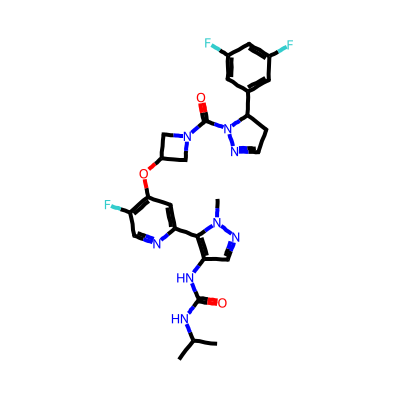 CC(C)NC(=O)Nc1cnn(C)c1-c1cc(OC2CN(C(=O)N3N=CCC3c3cc(F)cc(F)c3)C2)c(F)cn1